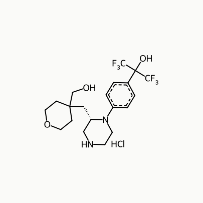 Cl.OCC1(C[C@H]2CNCCN2c2ccc(C(O)(C(F)(F)F)C(F)(F)F)cc2)CCOCC1